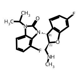 CNC[C@@H]1Oc2cc(F)ccc2[C@H]1n1c(=O)n(C(C)C)c2cccc(F)c21